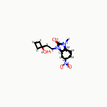 Cn1c(=O)n(CCC2(O)CCC2)c2cc([N+](=O)[O-])ccc21